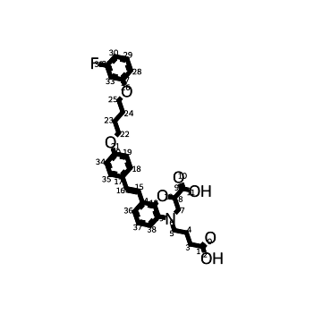 O=C(O)CCCN1CC(C(=O)O)Oc2c(C=Cc3ccc(OCCCCOc4cccc(F)c4)cc3)cccc21